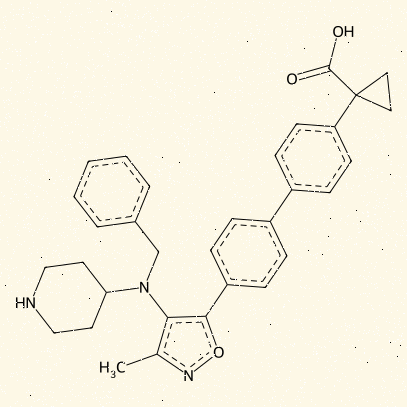 Cc1noc(-c2ccc(-c3ccc(C4(C(=O)O)CC4)cc3)cc2)c1N(Cc1ccccc1)C1CCNCC1